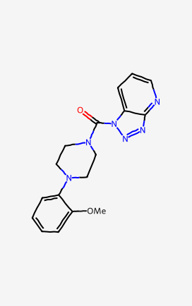 COc1ccccc1N1CCN(C(=O)n2nnc3ncccc32)CC1